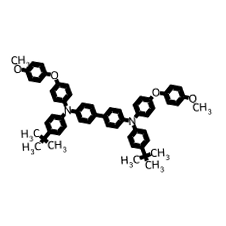 COc1ccc(Oc2ccc(N(c3ccc(-c4ccc(N(c5ccc(Oc6ccc(OC)cc6)cc5)c5ccc(C(C)(C)C)cc5)cc4)cc3)c3ccc(C(C)(C)C)cc3)cc2)cc1